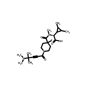 CC1C(C)C1[C@@H](C(=O)O)N(C)C(=O)C1(F)CCN(C(=O)C#CC(C)(C)N(C)C)CC1